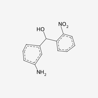 Nc1cccc(C(O)c2ccccc2[N+](=O)[O-])c1